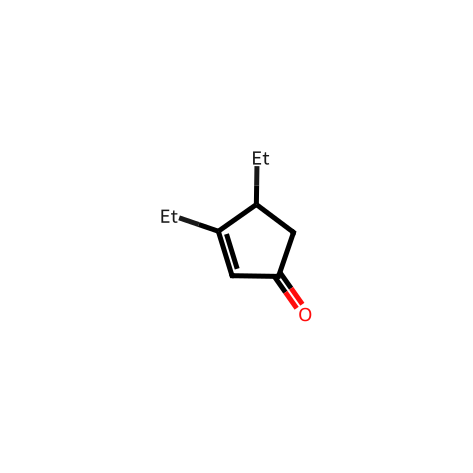 CCC1=CC(=O)CC1CC